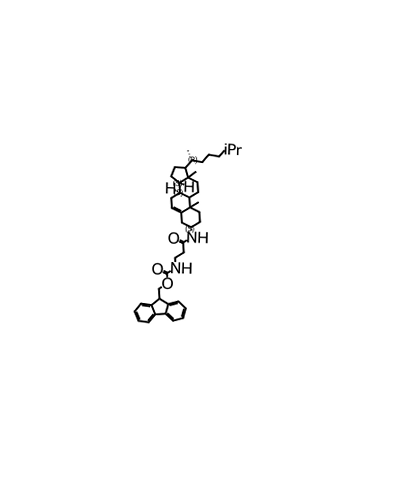 CC(C)CCC[C@@H](C)C1CC[C@H]2[C@@H]3CC=C4C[C@@H](NC(=O)CCNC(=O)OCC5c6ccccc6-c6ccccc65)CCC4(C)C3CCC12C